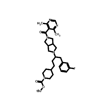 Cc1ncnc(C)c1C(=O)N1CC2CN(C(CCC3CCN(C(=O)OC(C)(C)C)CC3)Cc3cccc(F)c3)CC2C1